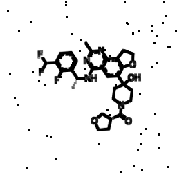 Cc1nc(N[C@H](C)c2cccc(C(F)F)c2F)c2cc(C3(O)CCN(C(=O)[C@H]4CCOC4)CC3)c3c(c2n1)CCO3